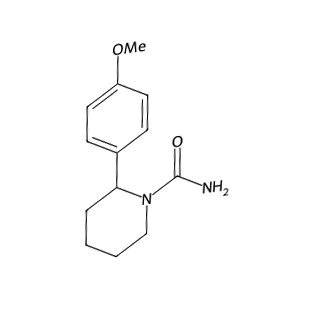 COc1ccc(C2CCCCN2C(N)=O)cc1